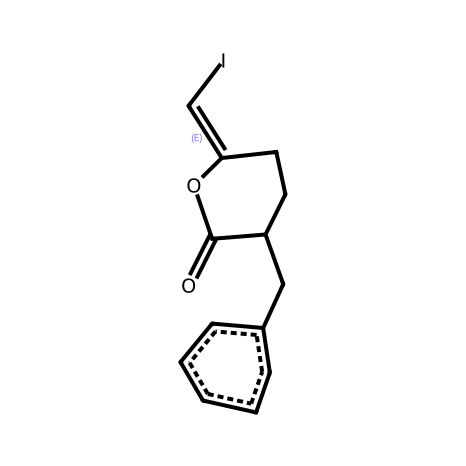 O=C1O/C(=C/I)CCC1Cc1ccccc1